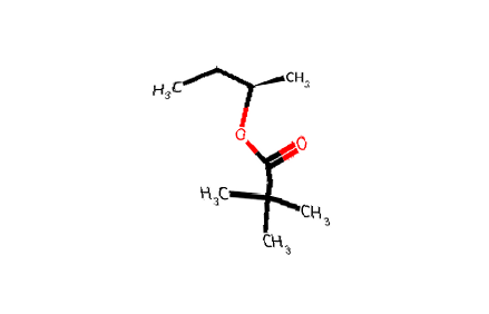 C[CH][C@@H](C)OC(=O)C(C)(C)C